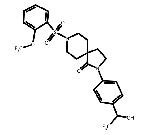 O=C1N(c2ccc(C(O)C(F)(F)F)cc2)CCC12CCN(S(=O)(=O)c1ccccc1OC(F)(F)F)CC2